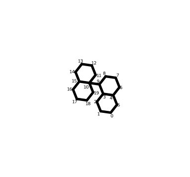 C1CCC2C(C1)CCCC2C12CCCCC1CCCC2